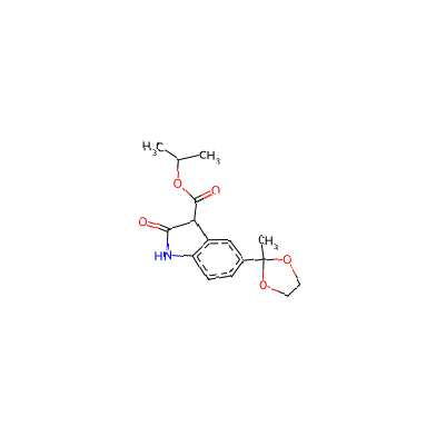 CC(C)OC(=O)C1C(=O)Nc2ccc(C3(C)OCCO3)cc21